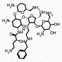 NCC[C@H](O)C(=O)N[C@@H]1C[C@H](N)[C@@H](O[C@H]2O[C@H](CN)CC[C@H]2N)[C@H](O[C@@H]2O[C@H](CO)[C@@H](O[C@H]3O[C@@H](CN)[C@@H](O)[C@H](O)[C@H]3N)[C@H]2OCCNCCc2ccccc2)[C@H]1O